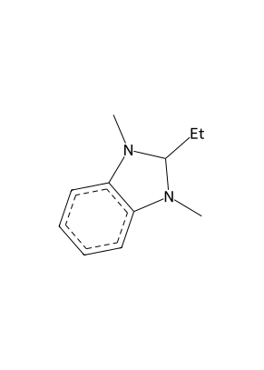 CCC1N(C)c2ccccc2N1C